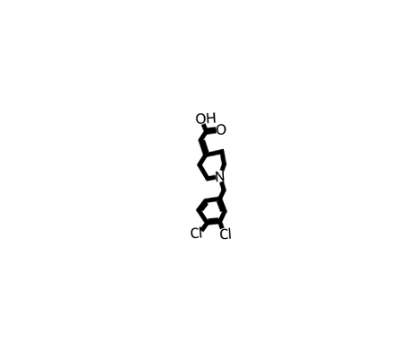 O=C(O)C=C1CCN(Cc2ccc(Cl)c(Cl)c2)CC1